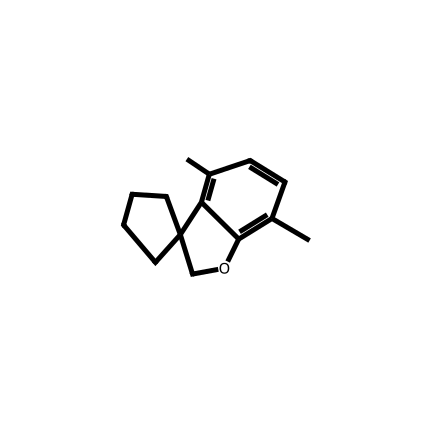 Cc1ccc(C)c2c1OCC21CCCC1